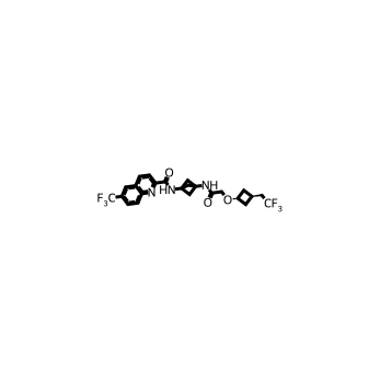 O=C(CO[C@H]1C[C@H](CC(F)(F)F)C1)NC12CC(NC(=O)c3ccc4cc(C(F)(F)F)ccc4n3)(C1)C2